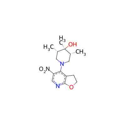 C[C@@H]1CN(c2c([N+](=O)[O-])cnc3c2CCO3)C[C@H](C)[C@@]1(C)O